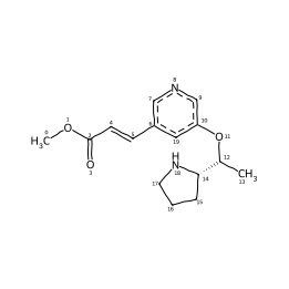 COC(=O)/C=C/c1cncc(OC(C)[C@@H]2CCCN2)c1